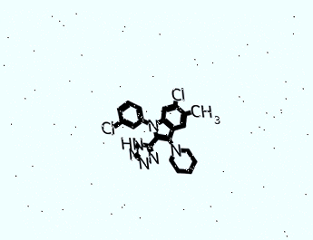 Cc1cc2c(N3CCCCC3)c(-c3nnn[nH]3)n(-c3cccc(Cl)c3)c2cc1Cl